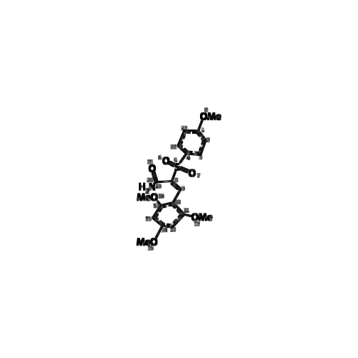 COc1ccc(S(=O)(=O)/C(=C/c2c(OC)cc(OC)cc2OC)C(N)=O)cc1